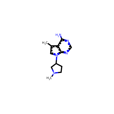 Cc1cn(C2CCN(C)C2)c2ncnc(N)c12